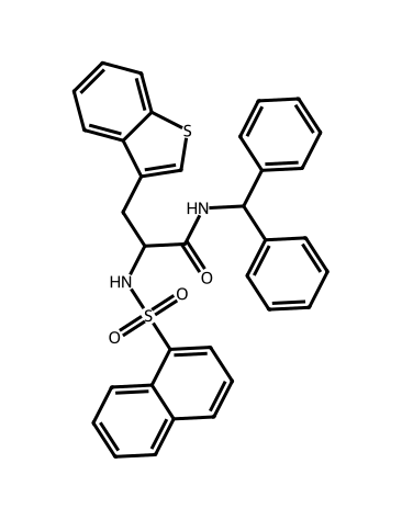 O=C(NC(c1ccccc1)c1ccccc1)C(Cc1csc2ccccc12)NS(=O)(=O)c1cccc2ccccc12